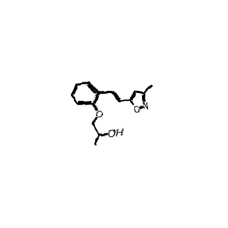 Cc1cc(C=Cc2ccccc2OCC(C)O)on1